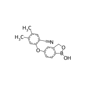 Cc1cc(C#N)c(Oc2ccc3c(c2)COB3O)cc1C